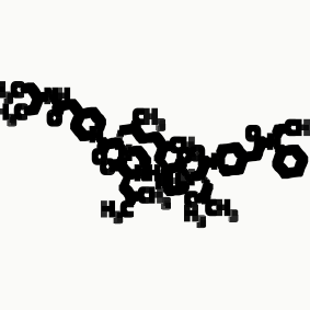 CCC(CC)NC(=O)CC1CCN(C(=O)[C@H](CC(C)CCC(C)C[C@@H]2NCCN([C@@H](CC(C)C)C(=O)N3CCC(CC(=O)N(CC)C4CCCCC4)CC3)C2=O)N2CCN[C@@H](CC(C)C)C2=O)CC1